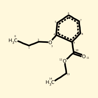 CCCOc1ccccc1C(=O)OCC